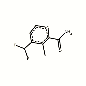 Cc1c(C(F)F)ccnc1C(N)=O